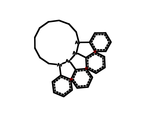 c1ccc([As]2CCCCCCCCC[As](c3ccccc3)[As](c3ccccc3)[As]2c2ccccc2)cc1